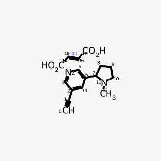 C#Cc1cncc(C2CCCN2C)c1.O=C(O)/C=C/C(=O)O